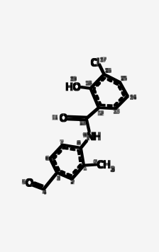 Cc1cc(C=O)ccc1NC(=O)c1cccc(Cl)c1O